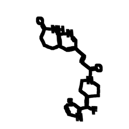 O=C1CCCc2cc(C=CC(=O)N3CCC(=C(F)c4nccs4)CC3)cnc2N1